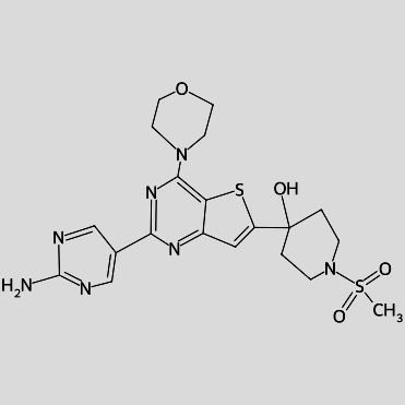 CS(=O)(=O)N1CCC(O)(c2cc3nc(-c4cnc(N)nc4)nc(N4CCOCC4)c3s2)CC1